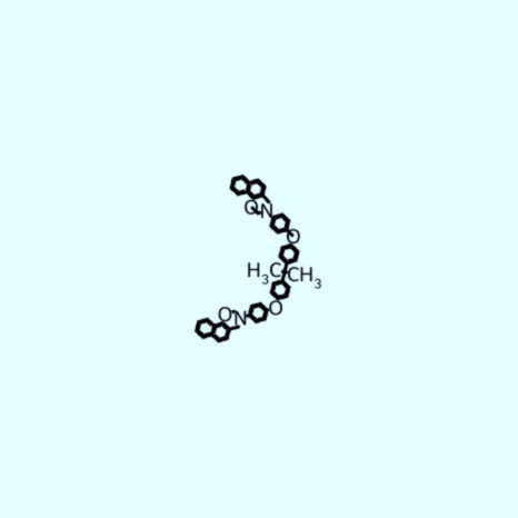 CC(C)(c1ccc(Oc2ccc(N3COc4c(ccc5ccccc45)C3)cc2)cc1)c1ccc(Oc2ccc(N3COc4c(ccc5ccccc45)C3)cc2)cc1